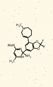 CNC1=NC(N)(c2cc3c(c(C4=CCN(C)CCC4)c2)OC(F)(F)O3)NC(C)=C1